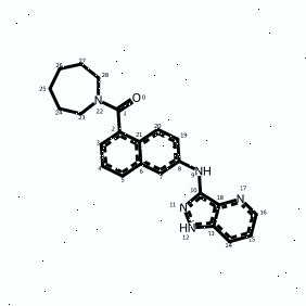 O=C(c1cccc2cc(Nc3n[nH]c4cccnc34)ccc12)N1CCCCCC1